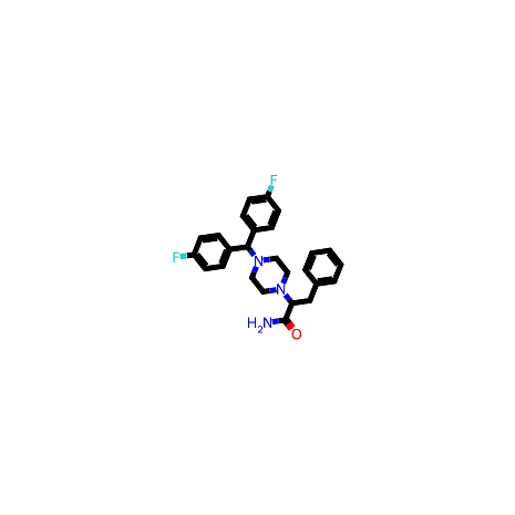 NC(=O)C(Cc1ccccc1)N1CCN(C(c2ccc(F)cc2)c2ccc(F)cc2)CC1